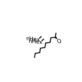 CCCCCCC.CCCCCCC.CCCCCCCCC(C)=O